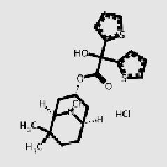 CN1[C@@H]2CCC(C)(C)[C@H]1C[C@H](OC(=O)C(O)(c1cccs1)c1cccs1)C2.Cl